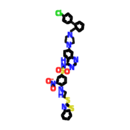 O=[N+]([O-])c1cc(S(=O)(=O)Nc2ncnc3cc(N4CCN(Cc5ccccc5-c5ccc(Cl)cc5)CC4)ccc23)ccc1NCCSc1nc2ccccc2s1